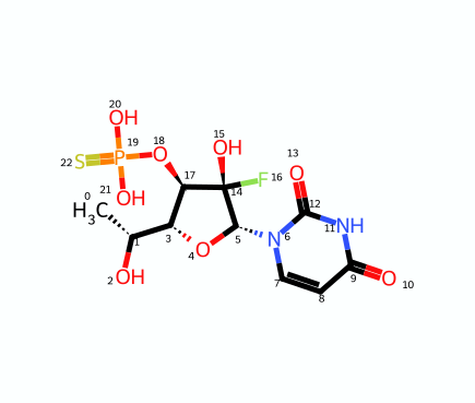 C[C@@H](O)[C@H]1O[C@@H](n2ccc(=O)[nH]c2=O)[C@@](O)(F)[C@@H]1OP(O)(O)=S